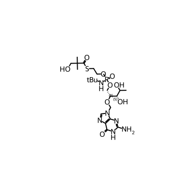 CC(O)[C@H](O)[C@@H](COP(=O)(NC(C)(C)C)OCCSC(=O)C(C)(C)CO)OCn1cnc2c(=O)[nH]c(N)nc21